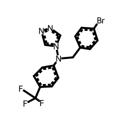 FC(F)(F)c1ccc(N(Cc2ccc(Br)cc2)n2cnnc2)cc1